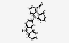 Cc1cccc2c1c1c(C#N)cccc1n2-c1ccc2[nH]c3ccccc3c2c1